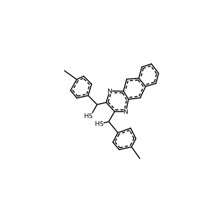 Cc1ccc(C(S)c2nc3cc4ccccc4cc3nc2C(S)c2ccc(C)cc2)cc1